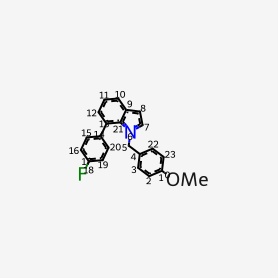 COc1ccc(Cn2ccc3cccc(-c4ccc(F)cc4)c32)cc1